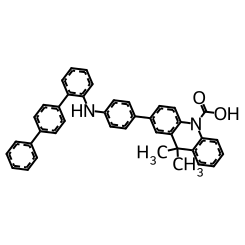 CC1(C)c2ccccc2N(C(=O)O)c2ccc(-c3ccc(Nc4ccccc4-c4ccc(-c5ccccc5)cc4)cc3)cc21